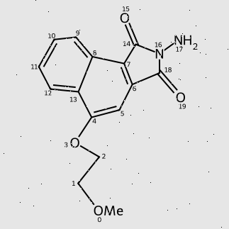 COCCOc1cc2c(c3ccccc13)C(=O)N(N)C2=O